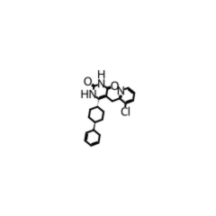 O=c1[nH]c(=O)c(Cc2ncccc2Cl)c([C@H]2CC[C@H](C3C=CC=CC3)CC2)[nH]1